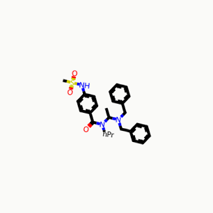 CCCN(C(=O)c1ccc(NS(C)(=O)=O)cc1)C(C)N(Cc1ccccc1)Cc1ccccc1